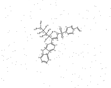 C=Cc1ccc(S(=O)(=O)O/N=C(/c2ccc3c(c2)Cc2ccccc2-3)C(F)(F)C(F)(F)C(F)(F)C(F)F)cc1